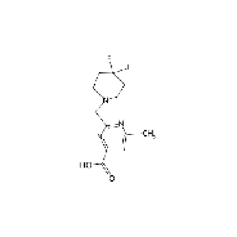 Cc1cc(C(=O)O)nc(CN2CCC(F)(F)CC2)n1